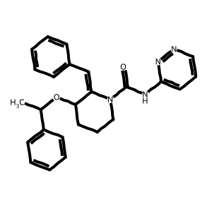 CC(OC1CCCN(C(=O)Nc2cccnn2)C1=Cc1ccccc1)c1ccccc1